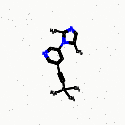 Cc1cnc(C)n1-c1cncc(C#C[Si](C)(C)C)c1